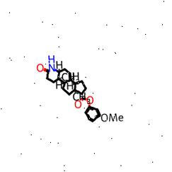 COc1cccc(OC(=O)[C@H]2CC[C@H]3[C@@H]4CC[C@H]5NC(=O)CC[C@]5(C)[C@H]4CC[C@]23C)c1